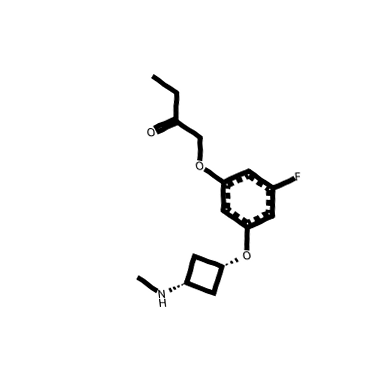 CCC(=O)COc1cc(F)cc(O[C@H]2C[C@@H](NC)C2)c1